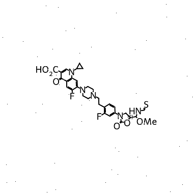 COC(NC=S)[C@@H]1CN(c2ccc(CCN3CCN(c4cc5c(cc4F)c(=O)c(C(=O)O)cn5C4CC4)CC3)c(F)c2)C(=O)O1